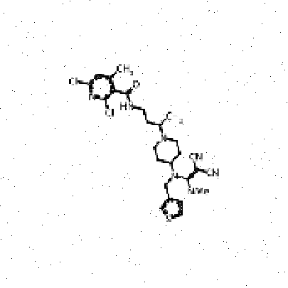 CNC(=C(C#N)C#N)N(Cc1ccsc1)C1CCN(C(C)CCNC(=O)c2c(C)cc(Cl)nc2Cl)CC1